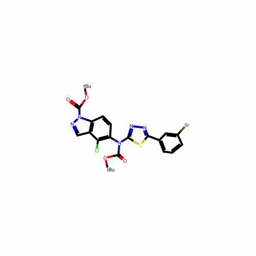 CC(C)(C)OC(=O)N(c1nnc(-c2cccc(Br)c2)s1)c1ccc2c(cnn2C(=O)OC(C)(C)C)c1Cl